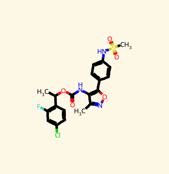 Cc1noc(-c2ccc(NS(C)(=O)=O)cc2)c1NC(=O)OC(C)c1ccc(Cl)cc1F